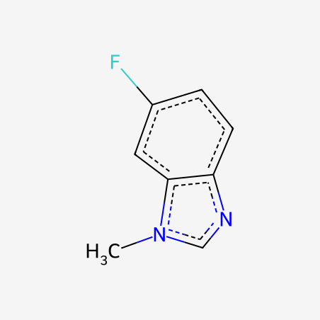 Cn1cnc2ccc(F)cc21